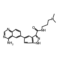 CN(C)CCCNC(=O)c1n[nH]c2ccc(-c3ccc4ncnc(N)c4c3)cc12